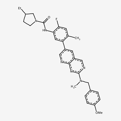 CCC1CCN(C(=O)Nc2cc(-c3cnc4nc(N(C)Cc5ccc(OC)cc5)ncc4c3)c(C)cc2F)C1